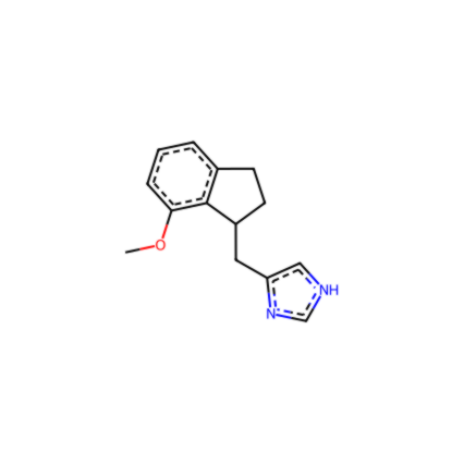 COc1cccc2c1C(Cc1c[nH]cn1)CC2